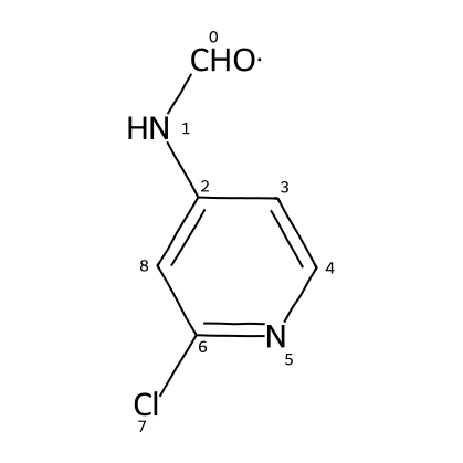 O=[C]Nc1ccnc(Cl)c1